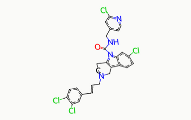 O=C(NCc1ccnc(Cl)c1)n1c2c(c3ccc(Cl)cc31)CN(C/C=C/c1ccc(Cl)c(Cl)c1)CC2